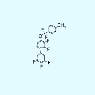 Cc1ccc(C(F)(F)Oc2ccc(-c3cc(F)c(F)c(F)c3)c(F)c2F)cc1